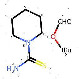 CC(C)(C)OC=O.NC(=S)N1CCCCC1